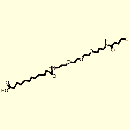 O=[C]CCC(=O)NCCCOCCOCCOCCCNC(=O)CCCCCCCCCCC(=O)O